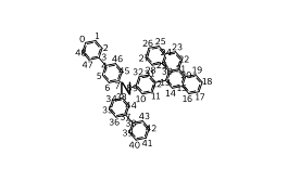 c1ccc(-c2ccc(N(c3ccc(-c4cc5ccccc5c5ccc6ccccc6c45)cc3)c3cccc(-c4ccccc4)c3)cc2)cc1